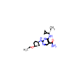 CCOC1CCC(Nc2ncc(C(N)=O)c(N[C@@H](CC)C3CC3)n2)CC1